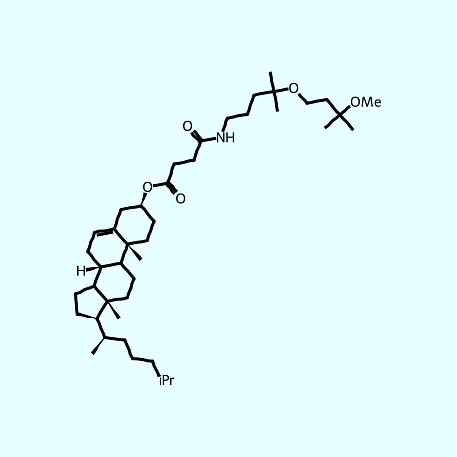 COC(C)(C)CCOC(C)(C)CCCNC(=O)CCC(=O)O[C@H]1CC[C@@]2(C)C(=CC[C@@H]3C2CC[C@@]2(C)C3CC[C@@H]2[C@H](C)CCCC(C)C)C1